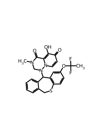 CN1CN(C2c3ccccc3CSc3ccc(OC(C)(F)F)cc32)n2ccc(=O)c(O)c2C1=O